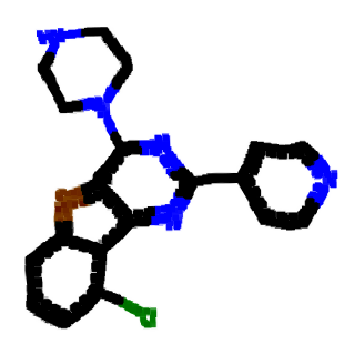 Clc1cccc2sc3c(N4CCNCC4)nc(-c4ccncc4)nc3c12